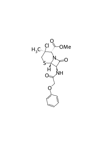 COC(=O)[C@@H]1N2C(=O)[C@@H](NC(=O)COc3ccccc3)[C@@H]2SC[C@@]1(C)Cl